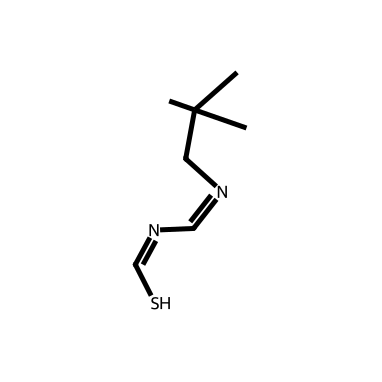 CC(C)(C)C/N=C\N=C/S